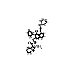 C[C@@H](NC(=O)c1c(N)nn2cccnc12)c1cc2cccc(C#CCN3CCOCC3)c2c(=O)n1-c1ccccc1